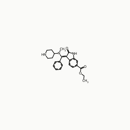 CCOC(=O)c1ccc2c(c1)NC(=O)/C2=C(/c1ccccc1)N(C)C1CCNCC1